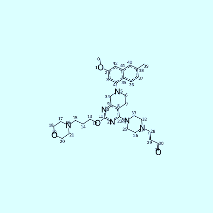 COc1cc(N2CCc3c(nc(OCCCN4CCOCC4)nc3N3CCN(C=CC=O)CC3)C2)c2ccc(C)cc2c1